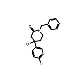 CC1(c2ccc(Cl)nc2)CCN(Cc2ccccc2)C(=O)C1